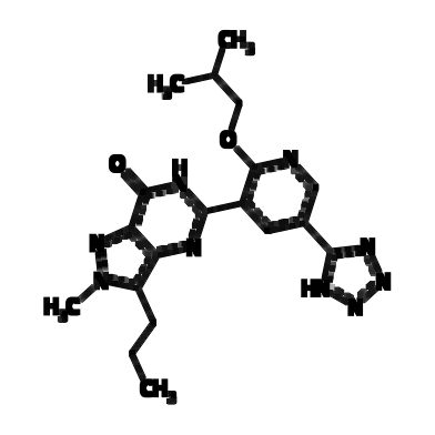 CCCc1c2nc(-c3cc(-c4nnn[nH]4)cnc3OCC(C)C)[nH]c(=O)c2nn1C